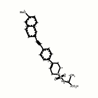 COc1ccc2cc(C#Cc3ccc(C4=CCN(S(=O)(=O)NC(C)C(=O)O)CC4)cc3)ccc2c1